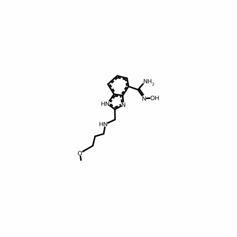 COCCCNCc1nc2c(C(N)=NO)cccc2[nH]1